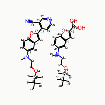 CN(CCO[Si](C)(C)C(C)(C)C)c1ccc2oc(-c3ccncc3C#N)cc2c1.CN(CCO[Si](C)(C)C(C)(C)C)c1ccc2oc(B(O)O)cc2c1